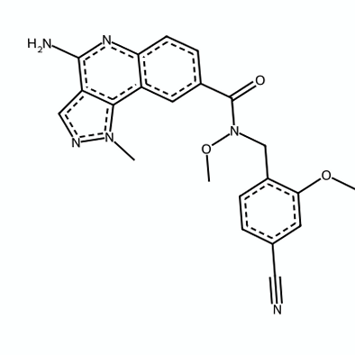 COc1cc(C#N)ccc1CN(OC)C(=O)c1ccc2nc(N)c3cnn(C)c3c2c1